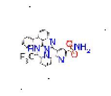 NS(=O)(=O)c1cncc(C2=NC3=CC=CC(c4ccccc4)C3C(NC(c3ccccn3)C(F)(F)F)=N2)c1